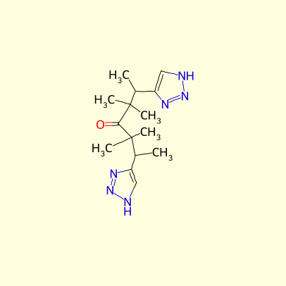 CC(c1c[nH]nn1)C(C)(C)C(=O)C(C)(C)C(C)c1c[nH]nn1